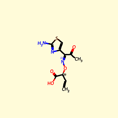 C=C[C@H](O/N=C(\C(C)=O)c1csc(N)n1)C(=O)O